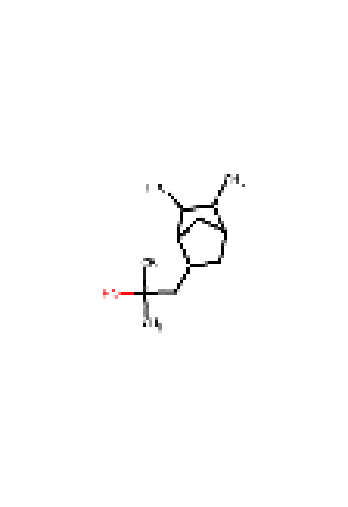 CC1C2CC(CC(C)(O)C(F)(F)F)C(C2)C1C